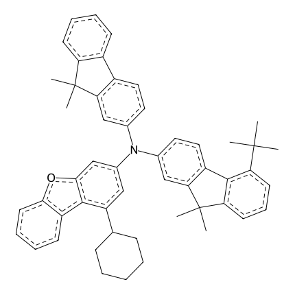 CC(C)(C)c1cccc2c1-c1ccc(N(c3ccc4c(c3)C(C)(C)c3ccccc3-4)c3cc(C4CCCCC4)c4c(c3)oc3ccccc34)cc1C2(C)C